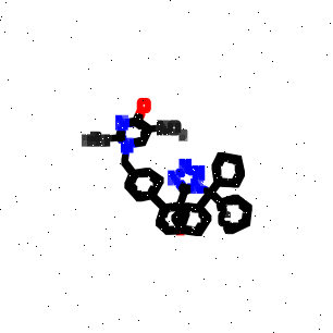 CCCCc1nc(=O)c([N+](=O)[O-])cn1Cc1ccc(-c2ccccc2-c2nnnn2C(c2ccccc2)(c2ccccc2)c2ccccc2)cc1